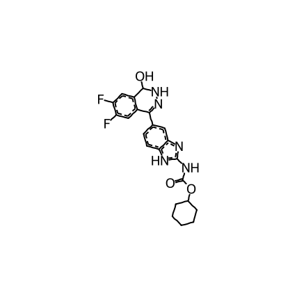 O=C(Nc1nc2cc(C3=NNC(O)c4cc(F)c(F)cc43)ccc2[nH]1)OC1CCCCC1